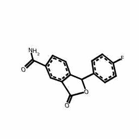 NC(=O)c1ccc2c(c1)C(=O)OC2c1ccc(F)cc1